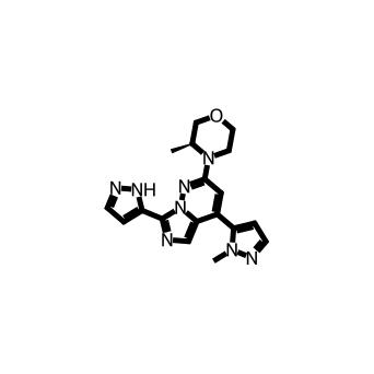 C[C@H]1COCCN1c1cc(-c2ccnn2C)c2cnc(-c3ccn[nH]3)n2n1